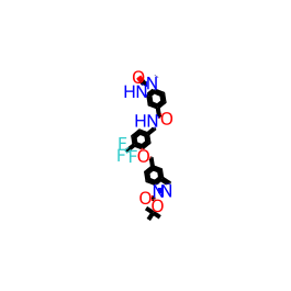 Cn1c(=O)[nH]c2cc(C(=O)NCc3ccc(C(F)(F)F)c(OCc4ccc5c(cnn5C(=O)OC(C)(C)C)c4)c3)ccc21